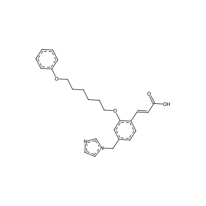 O=C(O)C=Cc1ccc(Cn2ccnc2)cc1OCCCCCCOc1ccccc1